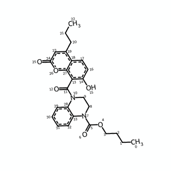 CCCCOC(=O)N1CCN(C(=O)c2c(O)ccc3c(CCC)cc(=O)oc23)c2ccccc21